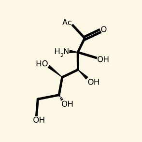 CC(=O)C(=O)[C@](N)(O)[C@@H](O)[C@H](O)[C@H](O)CO